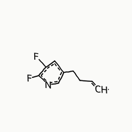 [CH]=CCCc1cnc(F)c(F)c1